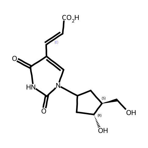 O=C(O)/C=C/c1cn(C2C[C@@H](CO)[C@H](O)C2)c(=O)[nH]c1=O